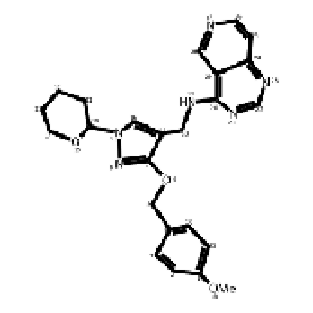 COc1ccc(COc2nn(C3CCCCO3)cc2CNc2ncnc3ccncc23)cc1